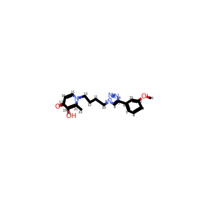 COc1cccc(-c2cn(CCCCn3ccc(=O)c(O)c3C)nn2)c1